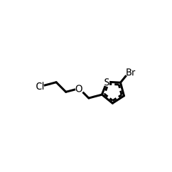 ClCCOCc1ccc(Br)s1